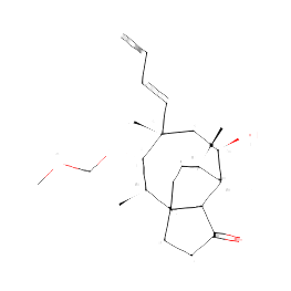 C=CC=C[C@]1(C)C[C@@H](O)[C@@]2(C)C3C(=O)CCC3(CC[C@H]2C)[C@@H](C)[C@@H]1OCOC